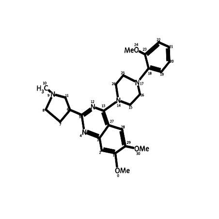 COc1cc2nc(C3CCN(C)C3)nc(N3CCN(c4ccccc4OC)CC3)c2cc1OC